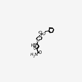 NC(=O)C1=CC(N2CCN(C(=O)OCc3ccccc3)CC2)NO1